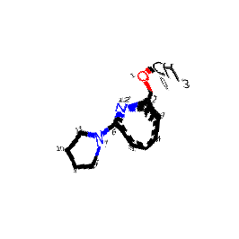 COc1cccc(N2CCCC2)n1